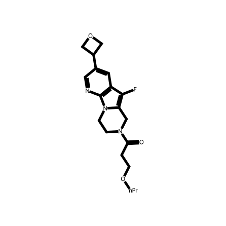 CCCOCCC(=O)N1CCn2c(c(F)c3cc(C4COC4)cnc32)C1